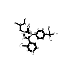 CCC(C)Cn1nc(-c2ccncc2Cl)n(-c2ccc(C(F)(F)F)cc2)c1=O